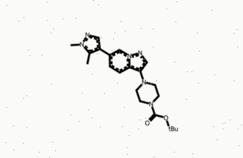 Cc1c(-c2ccc3c(N4CCN(C(=O)OC(C)(C)C)CC4)cnn3c2)cnn1C